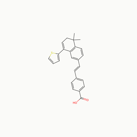 CC1(C)CC=C(c2cccs2)c2cc(C=Cc3ccc(C(=O)O)cc3)ccc21